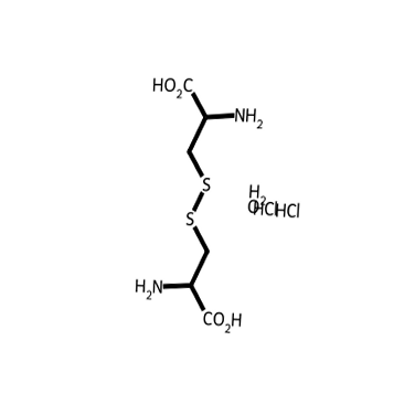 Cl.Cl.NC(CSSCC(N)C(=O)O)C(=O)O.O